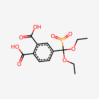 CCOC(OCC)(c1ccc(C(=O)O)c(C(=O)O)c1)P(=O)=O